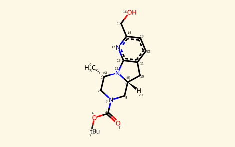 C[C@H]1CN(C(=O)OC(C)(C)C)C[C@H]2Cc3ccc(CO)nc3N21